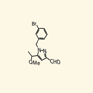 COC(C)c1cc(C=O)nn1Cc1cccc(Br)c1